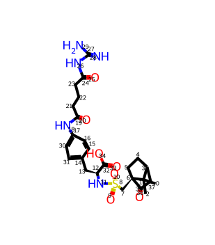 CC1(C)C2CC[C@@]1(CS(=O)(=O)N[C@@H](Cc1ccc(NC(=O)CCCC(=O)NC(=N)N)cc1)C(=O)O)C(=O)C2